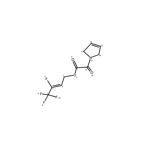 O=C(OC/C=C(\F)C(F)(F)F)C(=O)N1CC=CC1